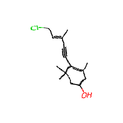 CC(C#CC1=C(C)CC(O)CC1(C)C)=CCCl